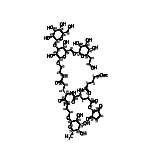 CCCCCCCCCCCCCC(=O)N[C@@H](CCC(=O)ON1C(=O)CCC1=O)C(=O)N[C@@H](CCC(=O)NCCO[C@H]1O[C@H](CO[C@H]2O[C@H](CCO)[C@@H](O)[C@H](O)[C@@H]2O)[C@@H](O)[C@H](O[C@H]2O[C@H](CO)[C@@H](O)[C@H](O)[C@@H]2O)[C@@H]1O)C(=O)NCCO[C@@H]1O[C@@H](C)[C@@H](O)[C@@H](O)[C@@H]1O